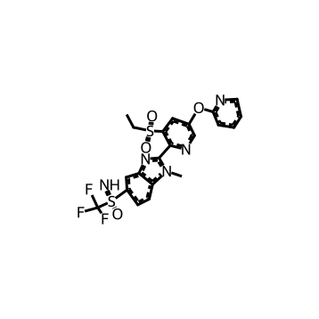 CCS(=O)(=O)c1cc(Oc2ccccn2)cnc1-c1nc2cc(S(=N)(=O)C(F)(F)F)ccc2n1C